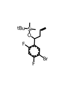 C=CCC(O[Si](C)(C)C(C)(C)C)c1cc(Br)c(F)cc1F